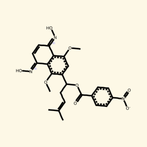 COc1cc(C(CC=C(C)C)OC(=O)c2ccc([N+](=O)[O-])cc2)c(OC)c2c1/C(=N/O)C=C/C2=N\O